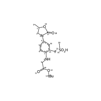 CC1CN(c2ccc(NCC(=O)OC(C)(C)C)c(F)c2)C(=O)O1.CS(=O)(=O)O